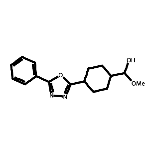 COC(O)C1CCC(c2nnc(-c3ccccc3)o2)CC1